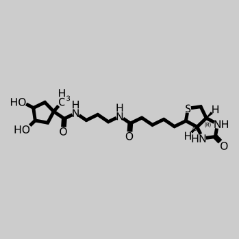 CC1(C(=O)NCCCNC(=O)CCCCC2SC[C@@H]3NC(=O)N[C@H]23)CC(O)C(O)C1